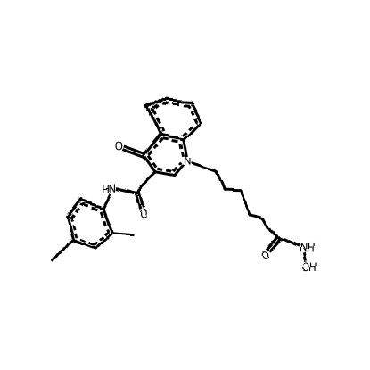 Cc1ccc(NC(=O)c2cn(CCCCCC(=O)NO)c3ccccc3c2=O)c(C)c1